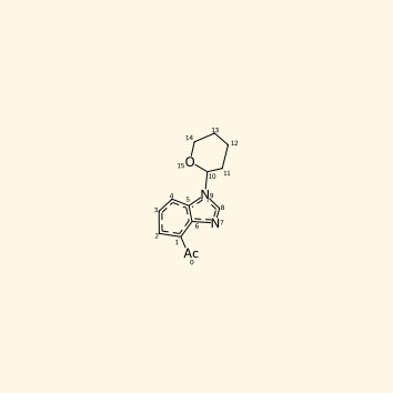 CC(=O)c1cccc2c1ncn2C1CCCCO1